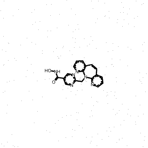 O=C(NO)c1cnc(CN2c3ncccc3C=Cc3cccnc32)nc1